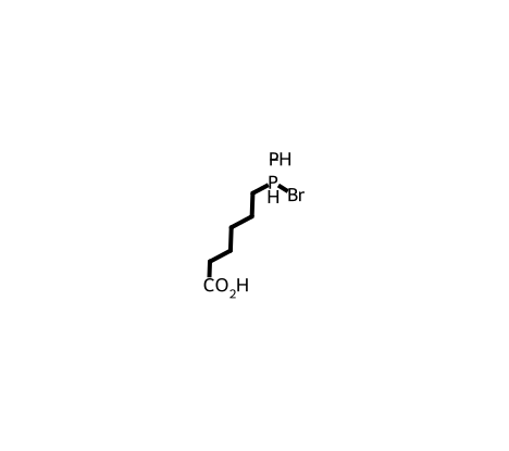 O=C(O)CCCCC[PH](=P)Br